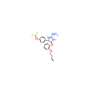 C=CCCOc1cccc([C@]2(c3ccc(OC(F)F)cc3)N=C(N)N(C)C2=O)c1